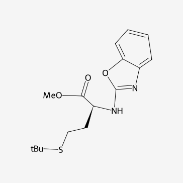 COC(=O)[C@H](CCSC(C)(C)C)Nc1nc2ccccc2o1